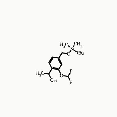 CC(O)c1ccc(CO[Si](C)(C)C(C)(C)C)cc1OC(F)F